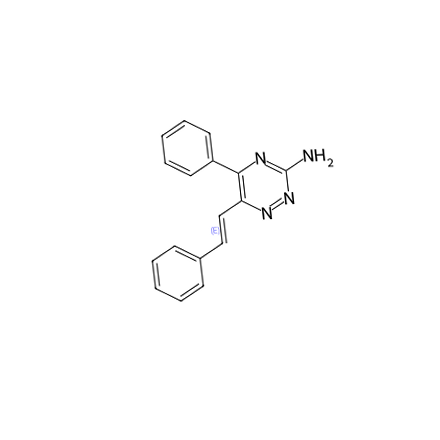 Nc1nnc(/C=C/c2ccccc2)c(-c2ccccc2)n1